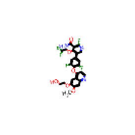 COc1cc2nccc(Oc3c(F)cc(-c4cnc(F)c(C(N)=O)c4OCC(F)F)cc3F)c2cc1OCCO